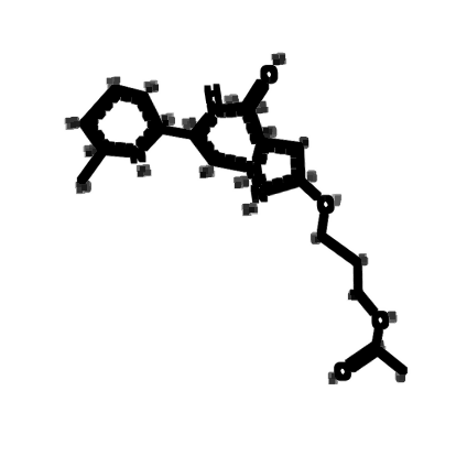 CC(=O)OCCCOc1cc2c(=O)[nH]c(-c3cccc(C)n3)cn2n1